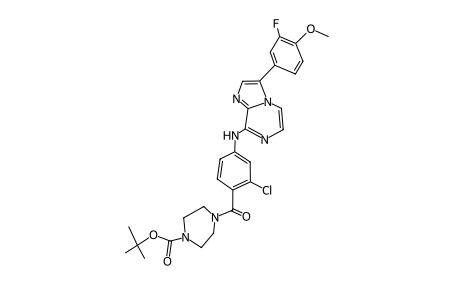 COc1ccc(-c2cnc3c(Nc4ccc(C(=O)N5CCN(C(=O)OC(C)(C)C)CC5)c(Cl)c4)nccn23)cc1F